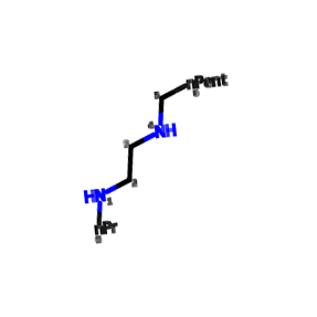 [CH2]CCNCCNCCCCCC